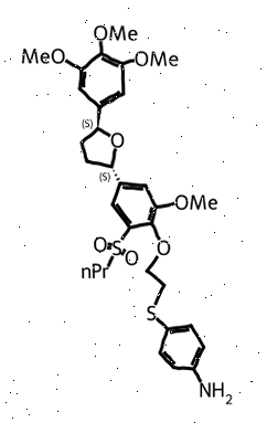 CCCS(=O)(=O)c1cc([C@@H]2CC[C@@H](c3cc(OC)c(OC)c(OC)c3)O2)cc(OC)c1OCCSc1ccc(N)cc1